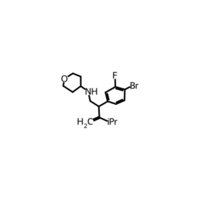 C=C(C(C)C)C(CNC1CCOCC1)c1ccc(Br)c(F)c1